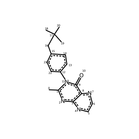 Cc1nc2nccnc2c(=O)n1-c1ccc(CC(C)(C)C)cc1